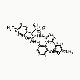 COc1cccc(OC)c1-n1c(N[S+]([O-])C(C)C(OC)c2ncc(C)cn2)nnc1-c1cc(C)on1